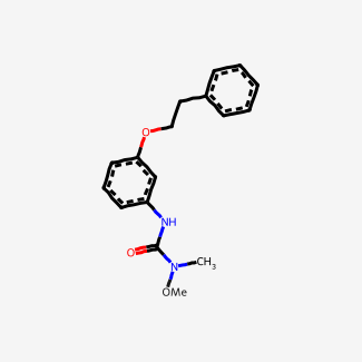 CON(C)C(=O)Nc1cccc(OCCc2ccccc2)c1